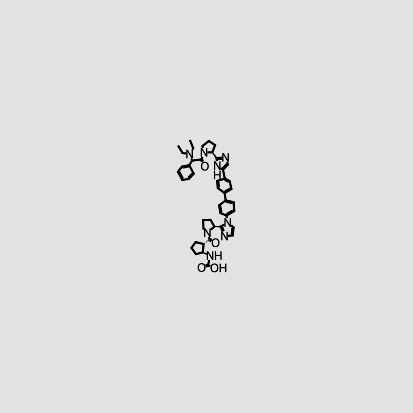 CCN(CC)[C@@H](C(=O)N1CCC[C@H]1c1ncc(-c2ccc(-c3ccc(-n4ccnc4[C@@H]4CCCN4C(=O)[C@H]4CCC[C@@H]4NC(=O)O)cc3)cc2)[nH]1)c1ccccc1